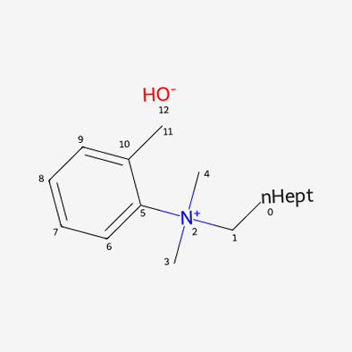 CCCCCCCC[N+](C)(C)c1ccccc1C.[OH-]